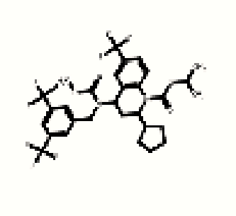 COC(=O)N(Cc1cc(C(F)(F)F)cc(C(F)(F)F)c1)C1CC(C2CCCC2)N(C(=O)OC(C)C)c2ccc(C(F)(F)F)cc21